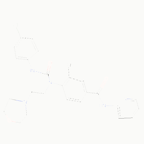 Cc1cc(C(=O)Nc2ccccn2)ccc1N(CCN1CCOCC1)C(=O)Nc1ccc(Cl)cc1